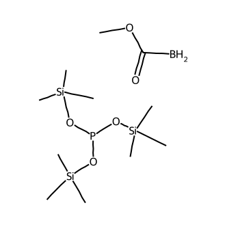 BC(=O)OC.C[Si](C)(C)OP(O[Si](C)(C)C)O[Si](C)(C)C